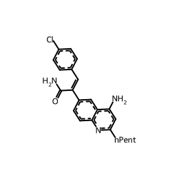 CCCCCc1cc(N)c2cc(C(=Cc3ccc(Cl)cc3)C(N)=O)ccc2n1